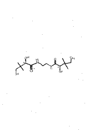 CC(C)(CO)[C@@H](O)C(=O)NCCNC(=O)[C@H](O)C(C)(C)CO